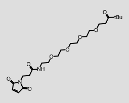 CC(C)(C)C(=O)CCOCCOCCOCCOCCNC(=O)CCN1C(=O)C=CC1=O